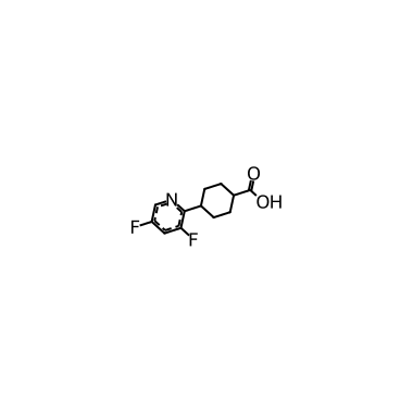 O=C(O)C1CCC(c2ncc(F)cc2F)CC1